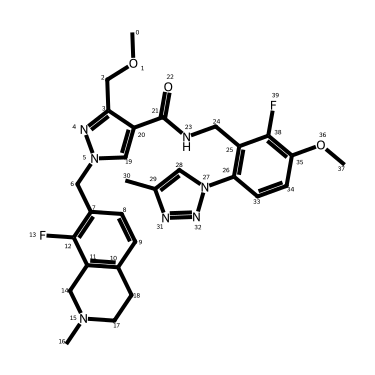 COCc1nn(Cc2ccc3c(c2F)CN(C)CC3)cc1C(=O)NCc1c(-n2cc(C)nn2)ccc(OC)c1F